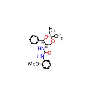 COc1ccccc1NC(=O)N[C@H]1COC(C)(C)O[C@@H]1c1ccccc1